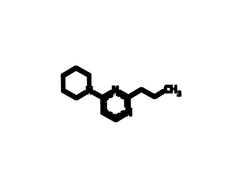 CCCc1nccc(N2CCCCC2)n1